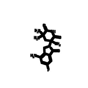 BC1(B)CC(B)(N2Cc3c(N)cc(F)cc3C2=O)C(=O)NC1=O